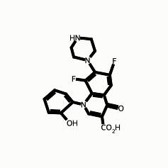 O=C(O)c1cn(-c2ccccc2O)c2c(F)c(N3CCNCC3)c(F)cc2c1=O